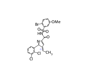 C/C=C1\C=C(C(=O)NS(=O)(=O)c2cc(OC)ccc2Br)N=C1c1cccc(Cl)c1Cl